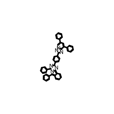 c1ccc(-c2cc(-c3ccccc3)c3nc(-c4ccc(-c5nc(-c6ccccc6)n6c(-c7ccccc7)c7ccccc7c6n5)cc4)nn3c2)cc1